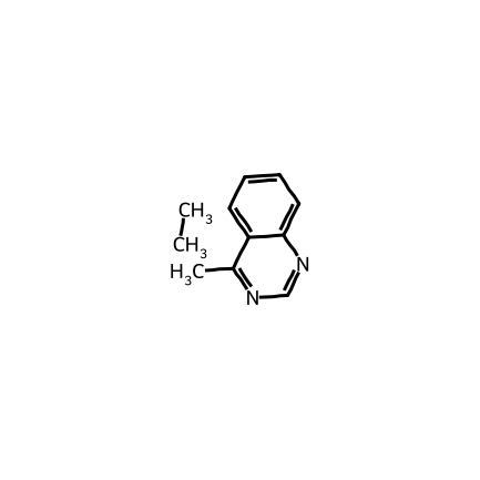 CC.Cc1ncnc2ccccc12